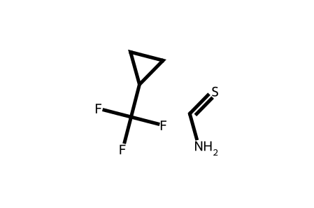 FC(F)(F)C1CC1.NC=S